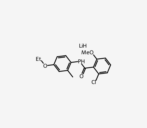 CCOc1ccc(PC(=O)c2c(Cl)cccc2OC)c(C)c1.[LiH]